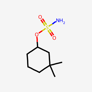 CC1(C)CCCC(OS(N)(=O)=O)C1